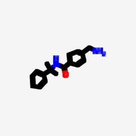 CC(C)(NC(=O)c1ccc(CN)cc1)c1ccccc1